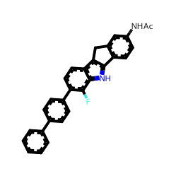 CC(=O)Nc1ccc2c(c1)Cc1c-2[nH]c2c(F)c(-c3ccc(-c4ccccc4)cc3)ccc12